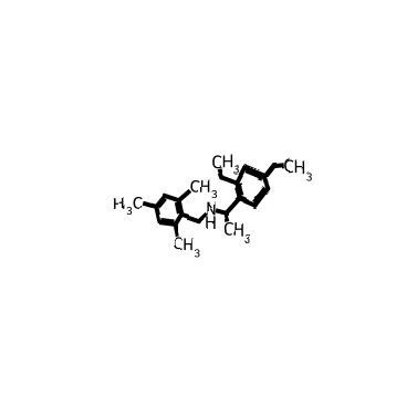 CCc1ccc(C(C)NCc2c(C)cc(C)cc2C)c(CC)c1